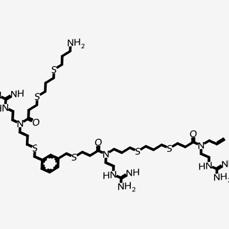 C=CCN(CCNC(=N)N)C(=O)CCSCCCSCCCN(CCNC(=N)N)C(=O)CCSCc1cccc(CSCCCN(CCNC(=N)N)C(=O)CCSCCCSCCCN)c1